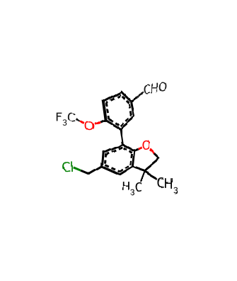 CC1(C)COc2c(-c3cc(C=O)ccc3OC(F)(F)F)cc(CCl)cc21